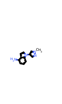 Cn1cc(-n2ccc3c(N)cccc32)cn1